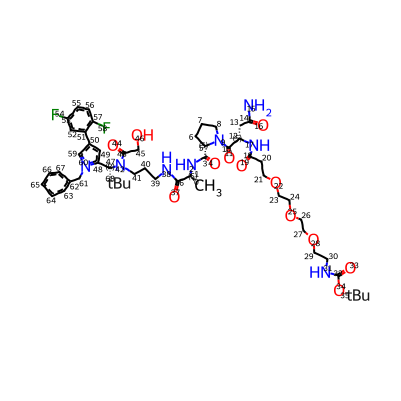 C[C@H](NC(=O)[C@@H]1CCCN1C(=O)[C@H](CC(N)=O)NC(=O)CCOCCOCCOCCNC(=O)OC(C)(C)C)C(=O)NCCCN(C(=O)CO)[C@@H](c1cc(-c2cc(F)ccc2F)cn1Cc1ccccc1)C(C)(C)C